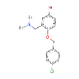 CCN(CC)Cc1cc(Br)ccc1OCc1ccc(Cl)cc1